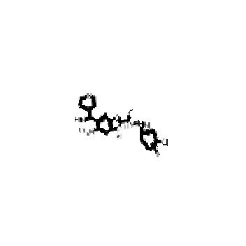 N=C(c1ccncc1)c1cc2nc(C(=O)NNc3ccc(F)c(Cl)c3)[nH]c2cc1N